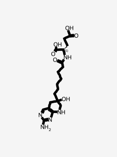 Nc1ncc2c(n1)NCC(O)(CCCCCCC(=O)N[C@@H](CCC(=O)O)C(=O)O)C2